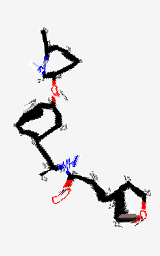 Cc1ccc(Oc2cccc([C@H](C)NC(=O)C=Cc3ccoc3)c2)cn1